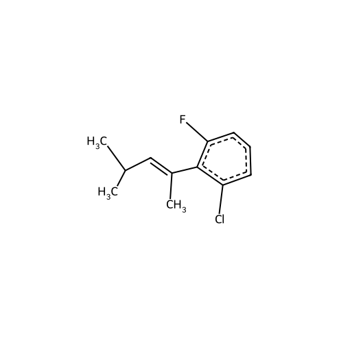 C/C(=C\C(C)C)c1c(F)cccc1Cl